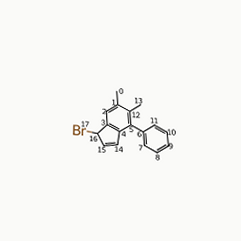 Cc1cc2c(c(-c3ccccc3)c1C)C=CC2Br